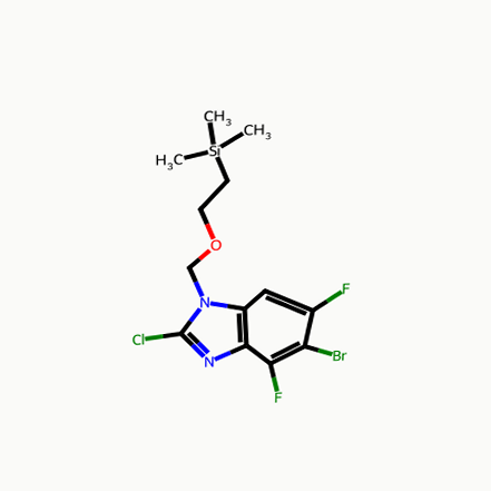 C[Si](C)(C)CCOCn1c(Cl)nc2c(F)c(Br)c(F)cc21